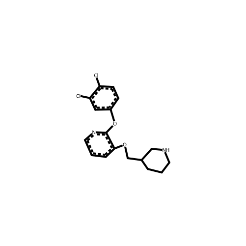 Clc1ccc(Oc2ncccc2OCC2CCCNC2)cc1Cl